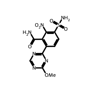 COc1ncnc(-c2ccc(S(N)(=O)=O)c([N+](=O)[O-])c2C(N)=O)n1